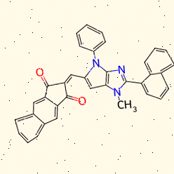 Cn1c(-c2cccc3ccccc23)nc2c1cc(C=C1C(=O)c3cc4ccccc4cc3C1=O)n2-c1ccccc1